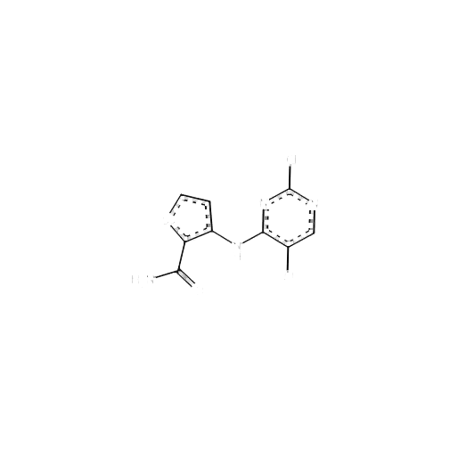 NC(=O)c1sccc1Nc1nc(Cl)ncc1Cl